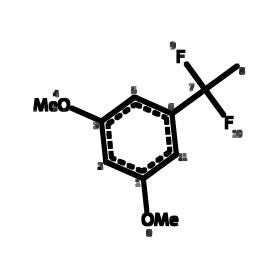 COc1cc(OC)cc(C(C)(F)F)c1